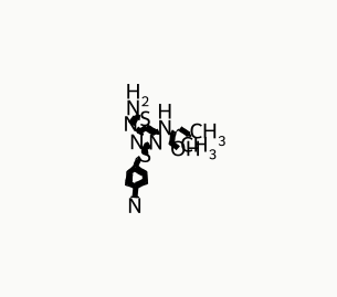 CC(C)C[C@H](CO)Nc1nc(SCc2ccc(C#N)cc2)nc2nc(N)sc12